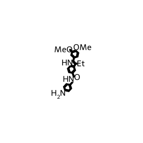 CCc1c(-c2ccc(OC)c(OC)c2)[nH]c2ccc(C(=O)NCc3ccc(N)cc3)cc12